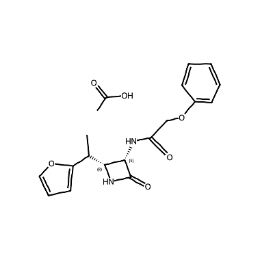 CC(=O)O.CC(c1ccco1)[C@H]1NC(=O)[C@H]1NC(=O)COc1ccccc1